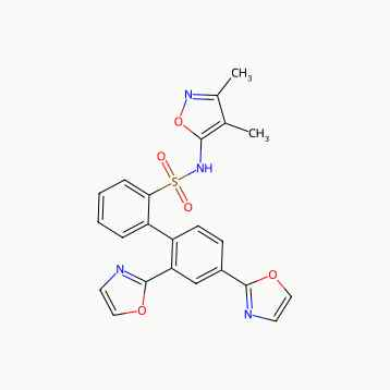 Cc1noc(NS(=O)(=O)c2ccccc2-c2ccc(-c3ncco3)cc2-c2ncco2)c1C